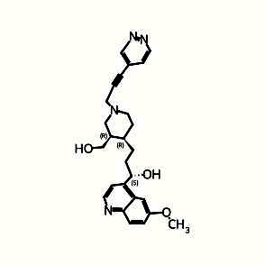 COc1ccc2nccc([C@@H](O)CC[C@@H]3CCN(CC#Cc4ccnnc4)C[C@@H]3CO)c2c1